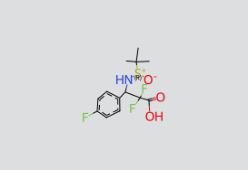 CC(C)(C)[S@+]([O-])NC(c1ccc(F)cc1)C(F)(F)C(=O)O